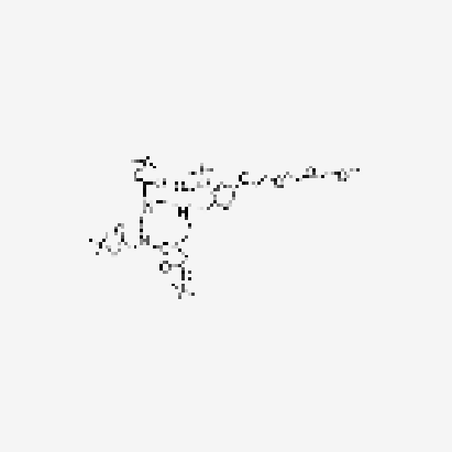 CCOCCOCCOCCOc1ccc(C[C@@H](C(=O)OC(C)(C)C)N2CCN(CC(=O)OC(C)(C)C)CCN(CC(=O)OC(C)(C)C)CCN(CC(=O)OC(C)(C)C)CC2)cc1